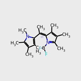 CC1=C(C)/C(=C(\C)c2c(C)c(C)c(C)n2C)[N+](B(F)F)=C1C